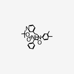 Cc1ccc(N(CCc2cccnc2)C(=O)C(NC(=O)OC(C)(C)C)c2ccccc2)cc1C